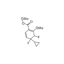 COOC(=O)C1=C(OC)C(F)C(F)(C2CC2)C=C1